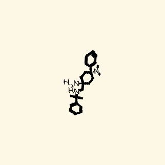 CN(C)[C@]1(c2ccccc2)CC[C@@](N)(CNC(C)(C)c2ccccc2)CC1